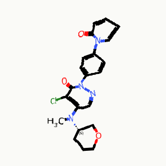 CN(c1cnn(-c2ccc(-n3ccccc3=O)cc2)c(=O)c1Cl)[C@H]1CCCOC1